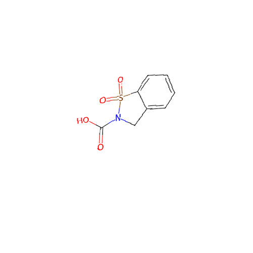 O=C(O)N1Cc2ccccc2S1(=O)=O